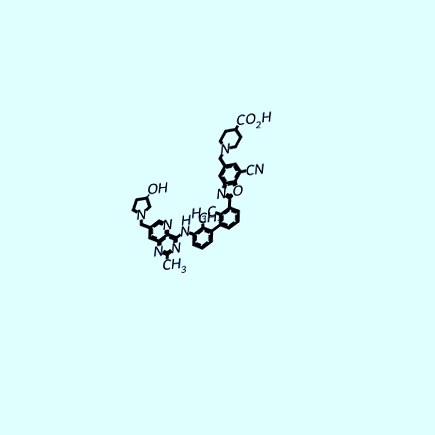 Cc1nc(Nc2cccc(-c3cccc(-c4nc5cc(CN6CCC(C(=O)O)CC6)cc(C#N)c5o4)c3C)c2C)c2ncc(CN3CC[C@H](O)C3)cc2n1